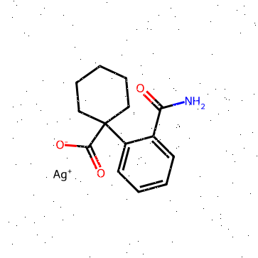 NC(=O)c1ccccc1C1(C(=O)[O-])CCCCC1.[Ag+]